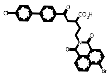 O=C(CC(CCN1C(=O)c2cccc3c(Br)ccc(c23)C1=O)C(=O)O)c1ccc(-c2ccc(Cl)cc2)cc1